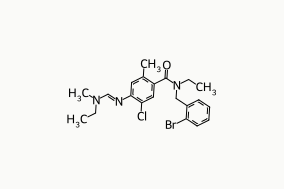 CCN(C)C=Nc1cc(C)c(C(=O)N(CC)Cc2ccccc2Br)cc1Cl